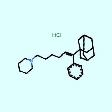 C(/CCCCN1CCCCC1)=C(/c1ccccc1)C12CC3CC(CC(C3)C1)C2.Cl